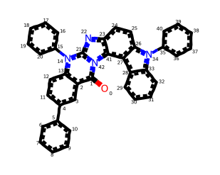 O=c1c2cc(-c3ccccc3)ccc2n(-c2ccccc2)c2nc3ccc4c(c5ccccc5n4-c4ccccc4)c3n12